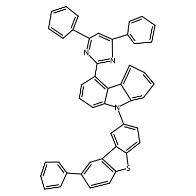 c1ccc(-c2ccc3sc4ccc(-n5c6ccccc6c6c(-c7nc(-c8ccccc8)cc(-c8ccccc8)n7)cccc65)cc4c3c2)cc1